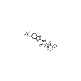 CC(C)(NC(=O)C1(N)CCC1)C(=O)Nc1nc2ccc(OC(F)(F)F)cc2s1